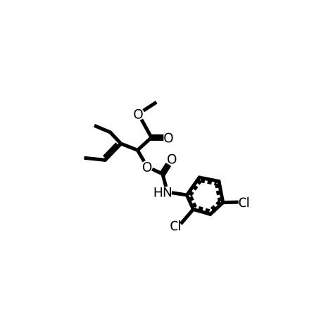 CC=C(CC)C(OC(=O)Nc1ccc(Cl)cc1Cl)C(=O)OC